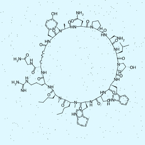 CCCC[C@H]1C(=O)N(C)[C@@H](CCCC)C(=O)N[C@@H](CCCNC(=N)N)C(=O)N[C@H](C(=O)NCC(N)=O)CSCC(=O)N[C@@H](Cc2ccc(O)cc2)C(=O)N(C)[C@@H](C)C(=O)N[C@@H](CC(N)=O)C(=O)N2CCC[C@H]2C(=O)N[C@@H](CN)C(=O)N[C@@H](CC(C)C)C(=O)N2C[C@H](O)C[C@H]2C(=O)N[C@@H](Cc2c[nH]c3ccccc23)C(=O)N[C@@H]([C@@H](C)O)C(=O)N[C@@H](Cc2c[nH]c3ccccc23)C(=O)N1C